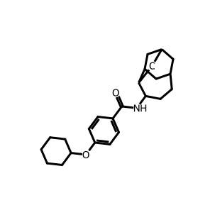 O=C(NC1CCC2CC3CC(C2)C1C3)c1ccc(OC2CCCCC2)cc1